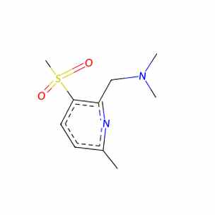 Cc1ccc(S(C)(=O)=O)c(CN(C)C)n1